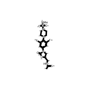 CNS(=O)(=O)N1CCN(c2c(F)cc(N3CC(CNC(C)=S)OC3=O)cc2F)CC1